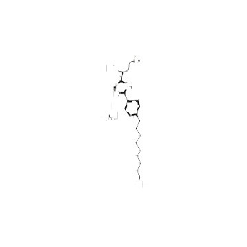 CCCCCCCCCCc1ccc(-c2noc(C(N)CCN)n2)cc1.Cl.Cl